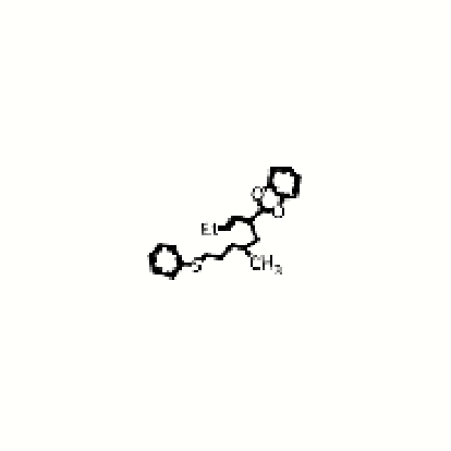 CCC=CC(C[C](C)CCCSc1ccccc1)C1Oc2ccccc2O1